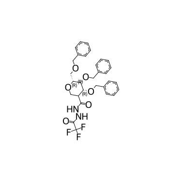 O=C(NNC(=O)C(F)(F)F)C1CO[C@H](COCc2ccccc2)[C@H](OCc2ccccc2)[C@@H]1OCc1ccccc1